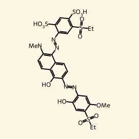 CCS(=O)(=O)c1cc(O)c(/N=N/c2ccc3c(/N=N/c4cc(S(=O)(=O)CC)c(S(=O)(=O)O)cc4S(=O)(=O)O)c(NC)ccc3c2O)cc1OC